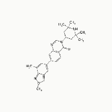 Cc1cc(-c2ccc3c(=O)n(C4CC(C)(C)NC(C)(C)C4)cnc3c2)cc2cn(C)nc12